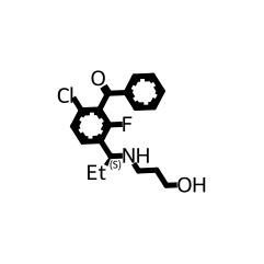 CC[C@H](NCCCO)c1ccc(Cl)c(C(=O)c2ccccc2)c1F